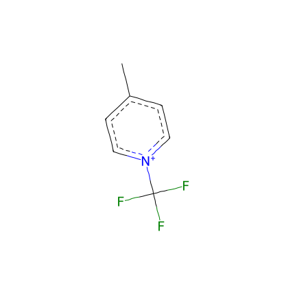 Cc1cc[n+](C(F)(F)F)cc1